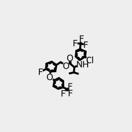 CC(C)C(Nc1ccc(C(F)(F)F)cc1Cl)C(=O)OCc1ccc(F)c(Oc2ccc(C(F)(F)F)cc2)c1